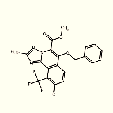 COC(=O)c1c(OCc2ccccc2)c2ccc(Cl)c(C(F)(F)F)c2c2nc(N)nn12